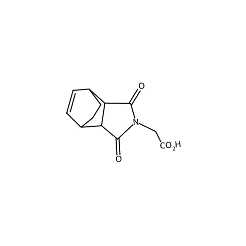 O=C(O)CN1C(=O)C2C3C=CC(CC3)C2C1=O